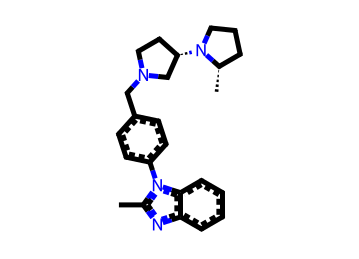 Cc1nc2ccccc2n1-c1ccc(CN2CC[C@H](N3CCC[C@@H]3C)C2)cc1